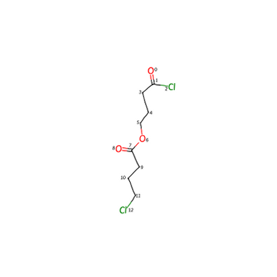 O=C(Cl)CCCOC(=O)CCCCl